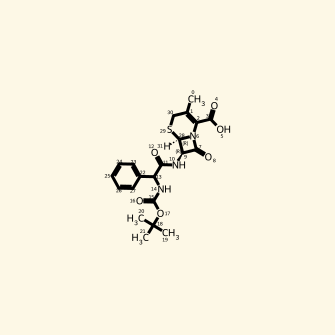 CC1=C(C(=O)O)N2C(=O)[C@@H](NC(=O)C(NC(=O)OC(C)(C)C)c3ccccc3)[C@H]2SC1